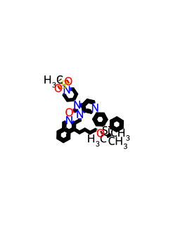 CC(C)(C)[Si](OCCCCc1c(Cn2c(=O)n(C3CCN(S(C)(=O)=O)CC3)c3ccncc32)ncc2ccccc12)(c1ccccc1)c1ccccc1